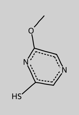 COc1cncc(S)n1